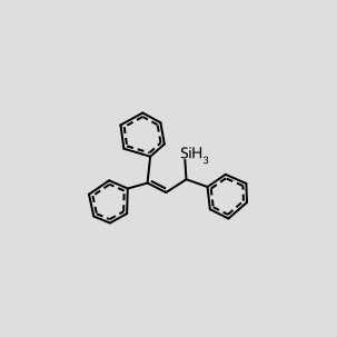 [SiH3]C(C=C(c1ccccc1)c1ccccc1)c1ccccc1